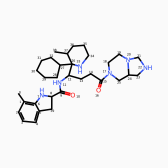 Cc1cccc2c1NC(C(=O)NC(CCC(=O)N1CCN3CNCC3C1)C1(C3CCCCC3)NCCCC1C)C2